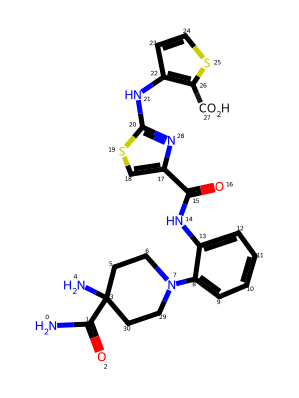 NC(=O)C1(N)CCN(c2ccccc2NC(=O)c2csc(Nc3ccsc3C(=O)O)n2)CC1